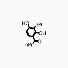 CCCC(=O)c1ccc(O)c(CCC)c1O